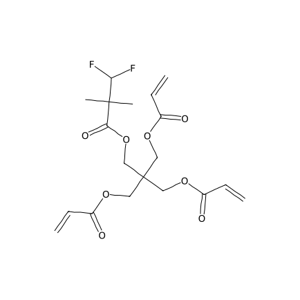 C=CC(=O)OCC(COC(=O)C=C)(COC(=O)C=C)COC(=O)C(C)(C)C(F)F